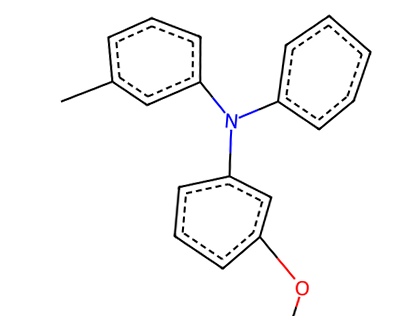 COc1cccc(N(c2ccccc2)c2cccc(C)c2)c1